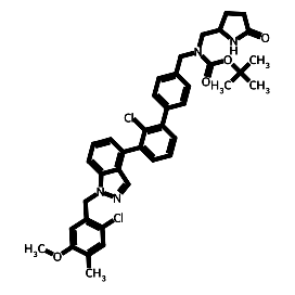 COc1cc(Cn2ncc3c(-c4cccc(-c5ccc(CN(CC6CCC(=O)N6)C(=O)OC(C)(C)C)cc5)c4Cl)cccc32)c(Cl)cc1C